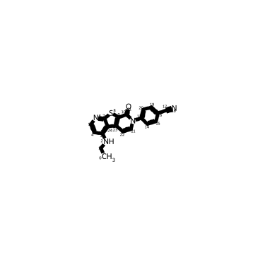 CCNc1ccnc2sc3c(=O)n(-c4ccc(C#N)cc4)ccc3c12